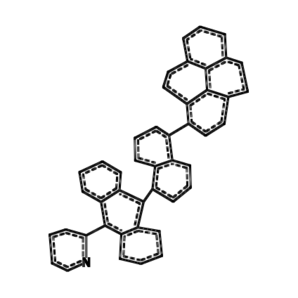 c1ccc(-c2c3ccccc3c(-c3cccc4c(-c5ccc6ccc7cccc8ccc5c6c78)cccc34)c3ccccc23)nc1